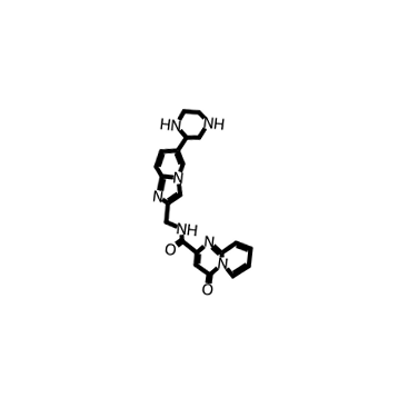 O=C(NCc1cn2cc(C3CNCCN3)ccc2n1)c1cc(=O)n2ccccc2n1